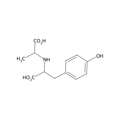 CC(NC(Cc1ccc(O)cc1)C(=O)O)C(=O)O